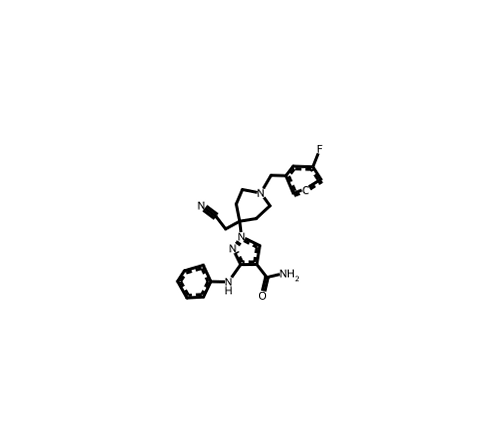 N#CCC1(n2cc(C(N)=O)c(Nc3ccccc3)n2)CCN(Cc2cccc(F)c2)CC1